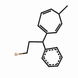 CC1C=CC=C(C(CCBr)c2ccccc2)C=C1